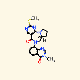 CSc1ncc2c(n1)N1CCC[C@H]1CN(c1cccc3c(=O)n(C)cnc13)C2=O